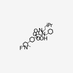 Cc1nc(F)ccc1-c1ccc(S(=O)(=O)c2c(O)n(Cc3ccccc3)c(CCC(C)C)nc2=O)cc1